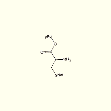 CCCCOC(=O)[C@@H](N)CSC